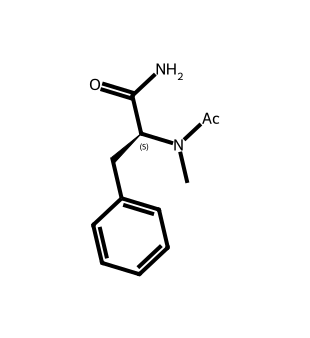 CC(=O)N(C)[C@@H](Cc1ccccc1)C(N)=O